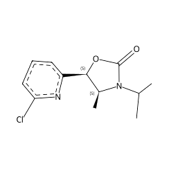 CC(C)N1C(=O)O[C@H](c2cccc(Cl)n2)[C@@H]1C